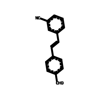 N#Cc1cccc(C=Cc2ccc(C=O)cc2)c1